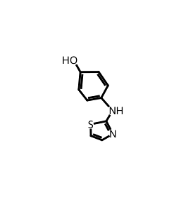 Oc1ccc(Nc2nccs2)cc1